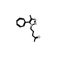 CC(=O)CCCn1nnc(C)c1C1=CC=CC=C=C1